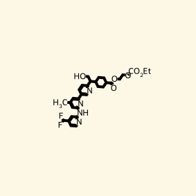 CCOC(=O)OCCOC(=O)C1CCC(C(CO)c2ccc(-c3cc(C)cc(Nc4cc(C(F)F)ccn4)n3)cn2)CC1